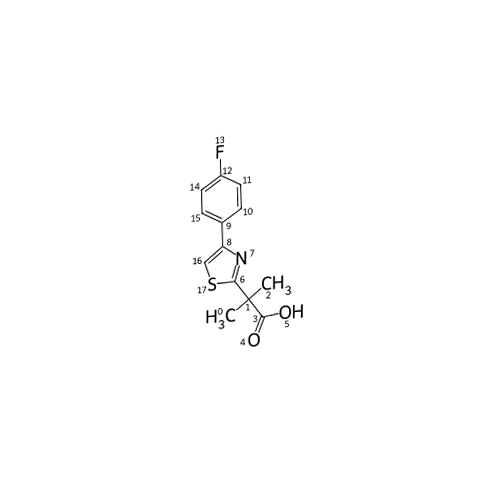 CC(C)(C(=O)O)c1nc(-c2ccc(F)cc2)cs1